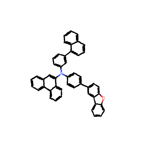 c1cc(-c2cccc3ccccc23)cc(N(c2ccc(-c3ccc4oc5ccccc5c4c3)cc2)c2cc3ccccc3c3ccccc23)c1